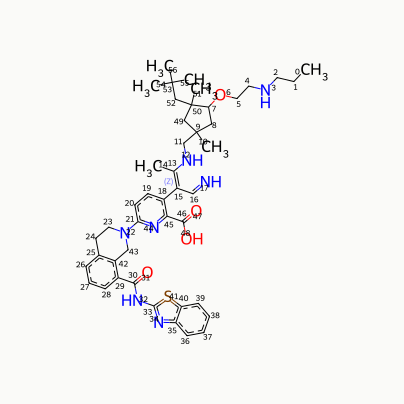 CCCNCCOC1CC(C)(CN/C(C)=C(\C=N)c2ccc(N3CCc4cccc(C(=O)Nc5nc6ccccc6s5)c4C3)nc2C(=O)O)CC1(C)CC(C)(C)C